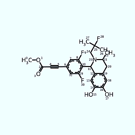 COC(=O)C#Cc1cc(F)c(C2c3cc(O)c(O)cc3CC(C)N2CC(C)(C)F)c(F)c1